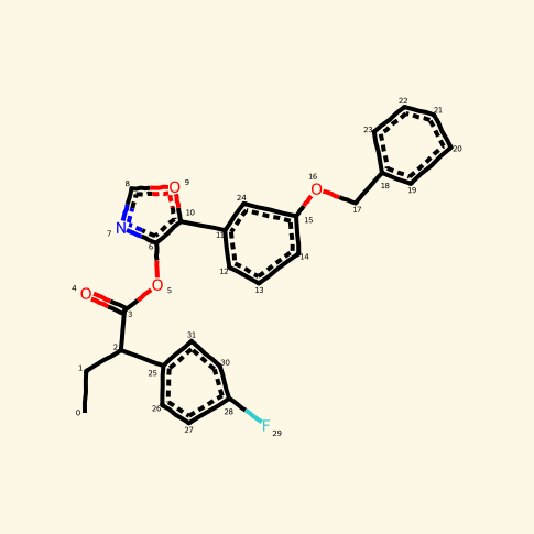 CCC(C(=O)Oc1ncoc1-c1cccc(OCc2ccccc2)c1)c1ccc(F)cc1